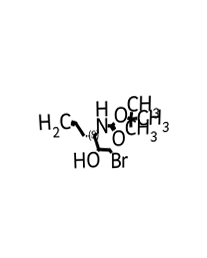 C=CC[C@H](NC(=O)OC(C)(C)C)C(O)CBr